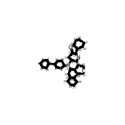 c1ccc(-c2ccc(N(c3cnc4c(c3)oc3ccccc34)c3cc4ccccc4c4ccccc34)cc2)cc1